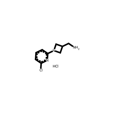 Cl.NCC1CN(c2cccc(Cl)n2)C1